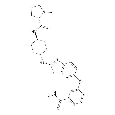 CNC(=O)c1cc(Oc2ccc3nc(N[C@H]4CC[C@H](NC(=O)[C@@H]5CCCN5C)CC4)sc3c2)ccn1